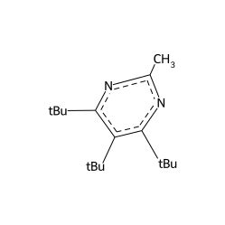 Cc1nc(C(C)(C)C)c(C(C)(C)C)c(C(C)(C)C)n1